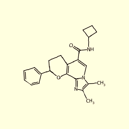 Cc1nc2c3c(c(C(=O)NC4CCC4)cn2c1C)CCC(c1ccccc1)O3